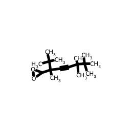 CC(C)(C)C(C)(C)C#CC(C)(C1OO1)C(C)(C)C